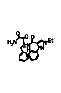 CCn1cc(C(=O)N[C@@H](Cc2ccccc2)C(=O)C(N)=O)c(-c2ccccc2)n1